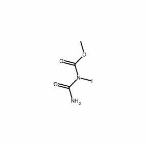 COC(=O)N(I)C(N)=O